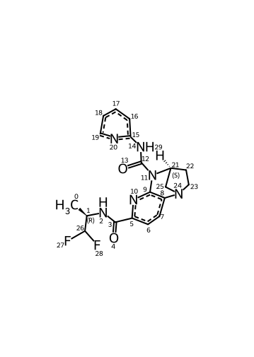 C[C@@H](NC(=O)c1ccc2c(n1)N(C(=O)Nc1ccccn1)[C@H]1CCN2C1)C(F)F